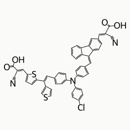 N#C/C(=C\c1ccc2c(c1)-c1ccccc1/C2=C\c1ccc(N(c2ccc(Cl)cc2)c2ccc(/C=C(\c3ccsc3)c3ccc(/C=C(\C#N)C(=O)O)s3)cc2)cc1)C(=O)O